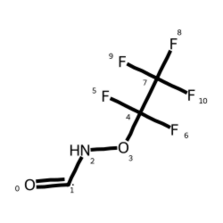 O=[C]NOC(F)(F)C(F)(F)F